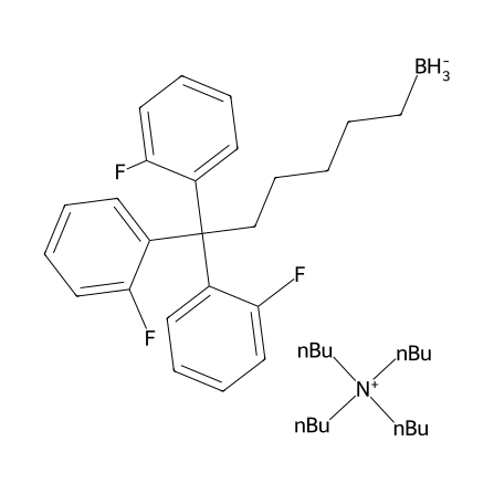 CCCC[N+](CCCC)(CCCC)CCCC.[BH3-]CCCCCC(c1ccccc1F)(c1ccccc1F)c1ccccc1F